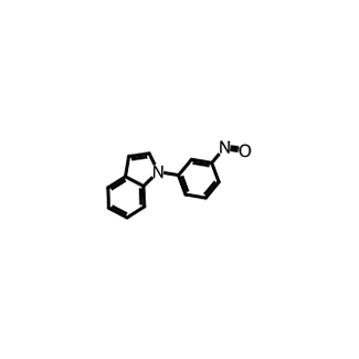 O=Nc1cccc(-n2ccc3ccccc32)c1